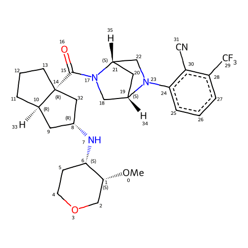 CO[C@@H]1COCC[C@@H]1N[C@@H]1C[C@H]2CCC[C@@]2(C(=O)N2C[C@@H]3C[C@H]2CN3c2cccc(C(F)(F)F)c2C#N)C1